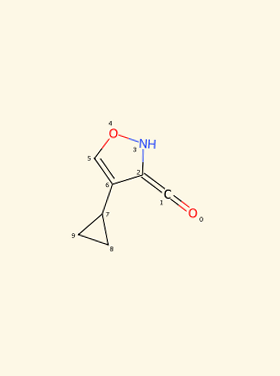 O=C=C1NOC=C1C1CC1